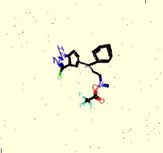 CN(CC[C@H](c1ccccc1)c1ccc2[nH]nc(Cl)c2c1)OC(=O)C(F)(F)F